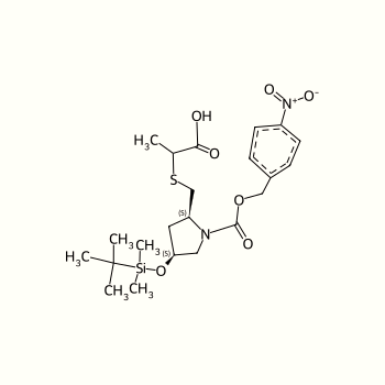 CC(SC[C@@H]1C[C@H](O[Si](C)(C)C(C)(C)C)CN1C(=O)OCc1ccc([N+](=O)[O-])cc1)C(=O)O